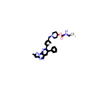 Cc1cc2ncc3cc(-c4ccccc4)c(-c4ccc(CN5CCC(OC(=O)NCC(F)(F)F)CC5)cc4)nc3n2n1